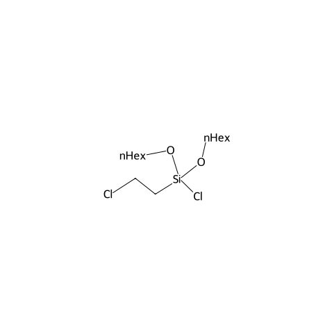 CCCCCCO[Si](Cl)(CCCl)OCCCCCC